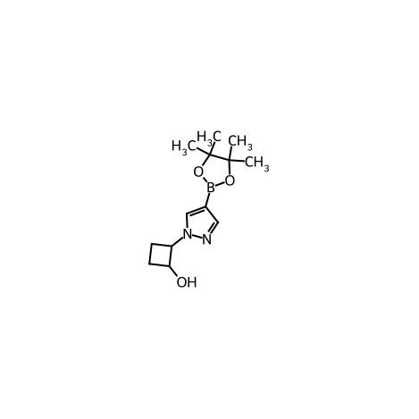 CC1(C)OB(c2cnn(C3CCC3O)c2)OC1(C)C